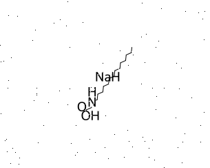 CCCCCCCCCCCCCCNCC(=O)O.[NaH]